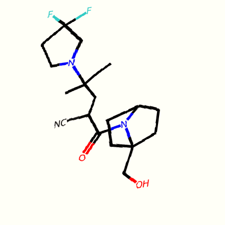 CC(C)(CC(C#N)C(=O)N1C2CCC1(CO)CC2)N1CCC(F)(F)C1